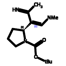 CN/C=C(\C(C)=N)[C@H]1CCCN1C(=O)OC(C)(C)C